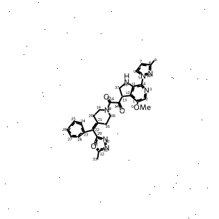 COc1cnc(-n2ccc(C)n2)c2c1C(C(=O)C(=O)N1CCC(=C(c3ccccc3)c3nnc(C)o3)CC1)CN2